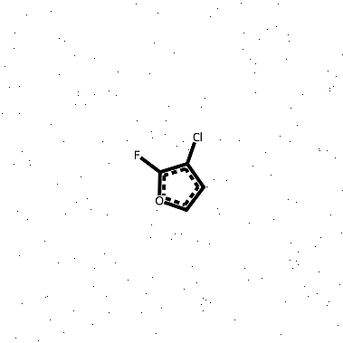 Fc1oc[c]c1Cl